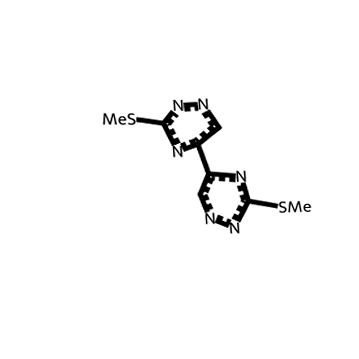 CSc1nncc(-c2cnnc(SC)n2)n1